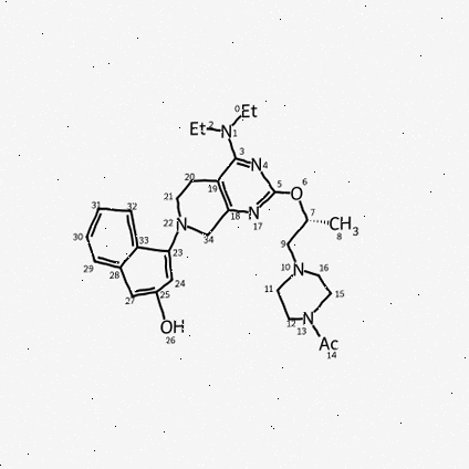 CCN(CC)c1nc(O[C@H](C)CN2CCN(C(C)=O)CC2)nc2c1CCN(c1cc(O)cc3ccccc13)C2